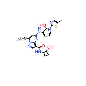 CNc1cc(NC2=CC=CN(c3ncc(C)s3)C2O)nc2c(C(=O)NC3CC[C@H]3O)cnn12